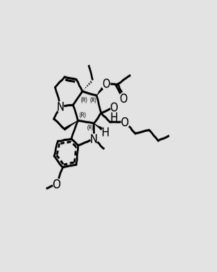 CCCCOCC1(O)[C@H](OC(C)=O)[C@]2(CC)C=CCN3CC[C@@]4(c5ccc(OC)cc5N(C)[C@@H]14)C32